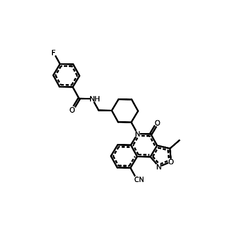 Cc1onc2c1c(=O)n(C1CCCC(CNC(=O)c3ccc(F)cc3)C1)c1cccc(C#N)c21